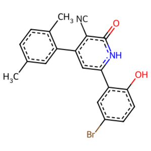 Cc1ccc(C)c(-c2cc(-c3cc(Br)ccc3O)[nH]c(=O)c2C#N)c1